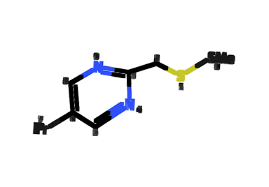 CSSCc1ncc(C(C)C)cn1